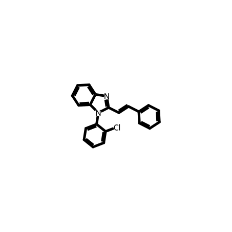 Clc1ccccc1-n1c(C=Cc2ccccc2)nc2ccccc21